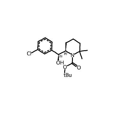 CC(C)(C)OC(=O)N1[C@@H]([C@@H](O)c2cccc(Cl)c2)CCCC1(C)C